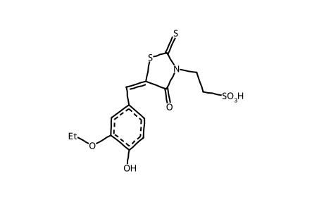 CCOc1cc(C=C2SC(=S)N(CCS(=O)(=O)O)C2=O)ccc1O